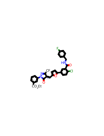 CCOC(=O)c1cccc(N2N=C(C(F)(F)F)/C(=C\c3ccc(-c4ccc(Cl)c(C(=O)NCc5ccc(F)cc5)c4)o3)C2=O)c1